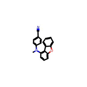 CN(c1ccc(C#N)cc1)c1cccc2oc3ccccc3c12